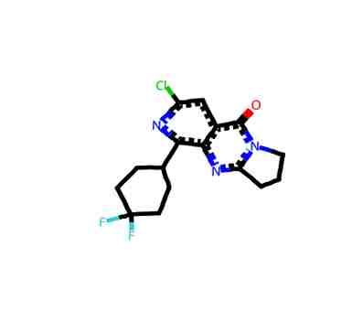 O=c1c2cc(Cl)nc(C3CCC(F)(F)CC3)c2nc2n1CCC2